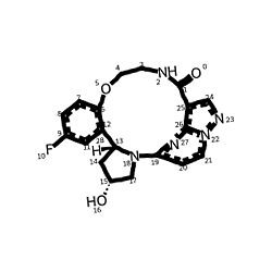 O=C1NCCOc2ccc(F)cc2[C@H]2C[C@@H](O)CN2c2ccn3ncc1c3n2